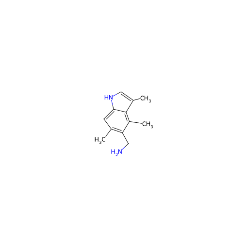 Cc1cc2[nH]cc(C)c2c(C)c1CN